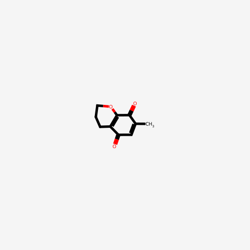 CC1=CC(=O)C2=C(OCCC2)C1=O